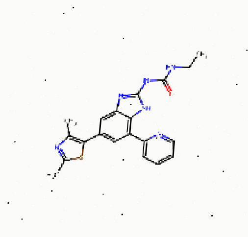 CCNC(=O)Nc1nc2cc(-c3sc(C)nc3C)cc(-c3ccccn3)c2[nH]1